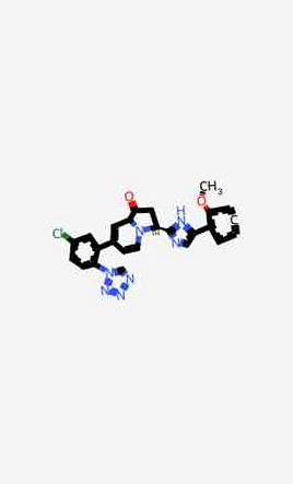 COc1ccccc1-c1cnc([C@@H]2CC(=O)C3C=C(c4cc(Cl)ccc4-n4cnnn4)C=CN32)[nH]1